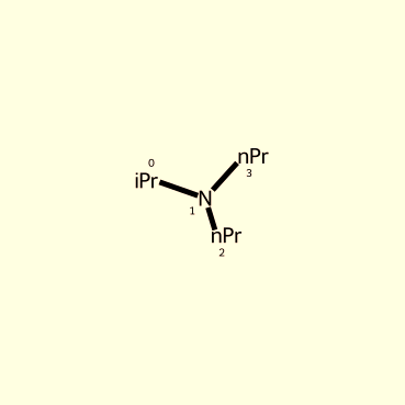 [CH2]C(C)N(CCC)CCC